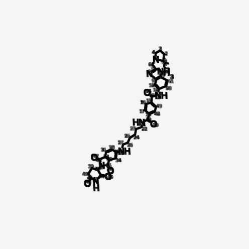 C[C@H]1CCCN1Cc1nc2cc(NC(=O)c3ccc(C(=O)NCCCCCCNc4ccc5c(c4)C(=O)N(C4CCC(=O)NC4=O)C5=O)cc3)ccc2[nH]1